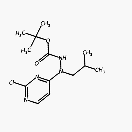 CC(C)CN(NC(=O)OC(C)(C)C)c1ccnc(Cl)n1